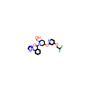 O=C(c1ccccc1-n1nccn1)N1C[C@H](Oc2cc(OCC(F)F)ccn2)CC[C@H]1CO